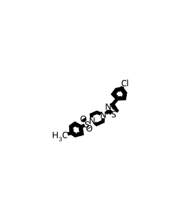 Cc1ccc(S(=O)(=O)N2CCN(c3nc(-c4ccc(Cl)cc4)cs3)CC2)cc1